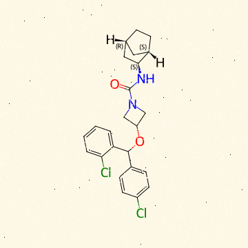 O=C(N[C@H]1C[C@@H]2CC[C@H]1C2)N1CC(OC(c2ccc(Cl)cc2)c2ccccc2Cl)C1